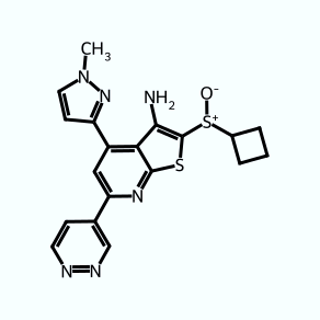 Cn1ccc(-c2cc(-c3ccnnc3)nc3sc([S+]([O-])C4CCC4)c(N)c23)n1